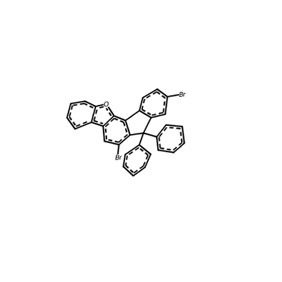 Brc1ccc2c(c1)C(c1ccccc1)(c1ccccc1)c1c(Br)cc3c(oc4ccccc43)c1-2